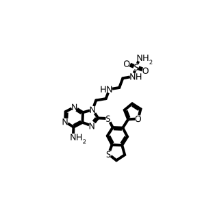 Nc1ncnc2c1nc(Sc1cc3c(cc1-c1ccco1)CCS3)n2CCNCCNS(N)(=O)=O